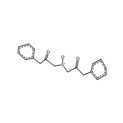 O=C(Cc1ccccc1)C[S+]([O-])CC(=O)Cc1ccccc1